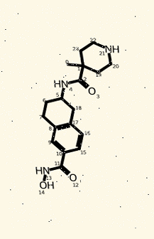 CC1(C(=O)NC2CCc3cc(C(=O)NO)ccc3C2)CCNCC1